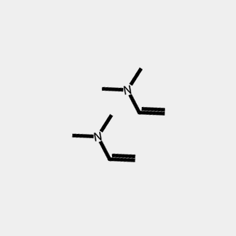 C=CN(C)C.C=CN(C)C